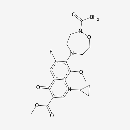 BC(=O)N1CCN(c2c(F)cc3c(=O)c(C(=O)OC)cn(C4CC4)c3c2OC)CCO1